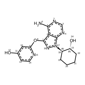 Nc1ncnc2c1c(Oc1cc(O)ccn1)nn2[C@@H]1CCCC[C@H]1O